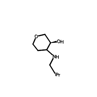 CC(C)CNC1CCOC[C@H]1O